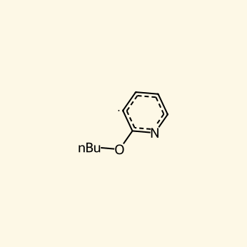 CCCCOc1[c]cccn1